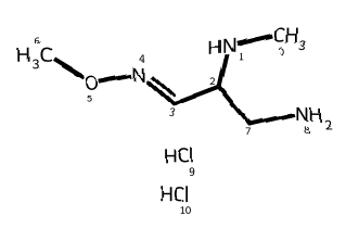 CNC(/C=N/OC)CN.Cl.Cl